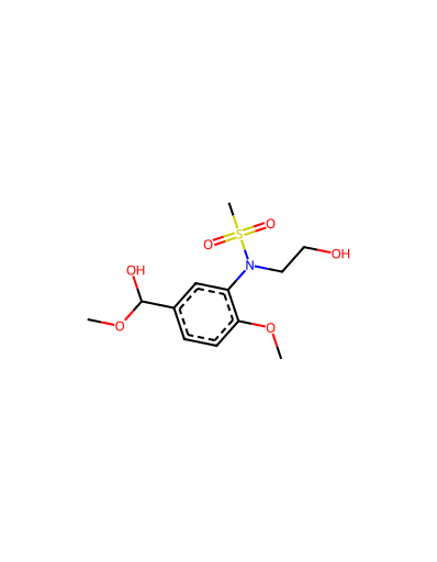 COc1ccc(C(O)OC)cc1N(CCO)S(C)(=O)=O